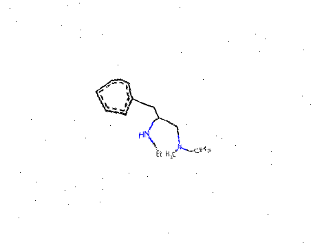 CCNC(Cc1ccccc1)CN(C)C